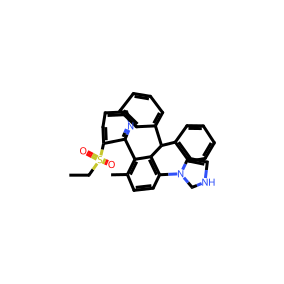 CCS(=O)(=O)c1cccnc1-c1c(C)ccc(N2C=CNC2)c1C(c1ccccc1)c1ccccc1